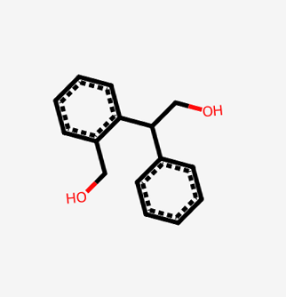 OCc1ccccc1C(CO)c1ccccc1